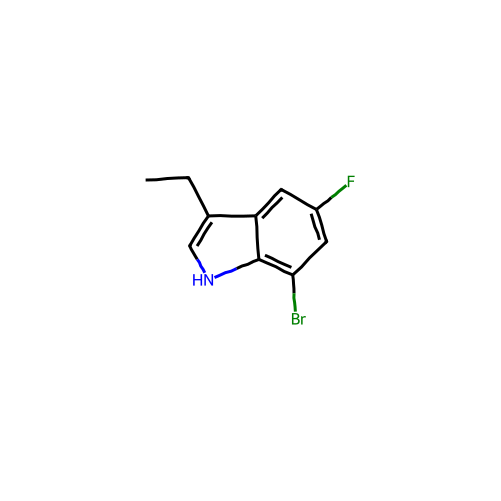 CCc1c[nH]c2c(Br)cc(F)cc12